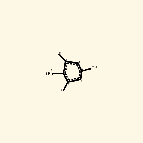 Cc1cc(F)cc(C)c1C(C)(C)C